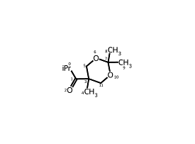 CC(C)C(=O)C1(C)COC(C)(C)OC1